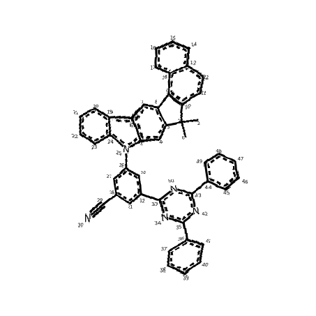 CC1(C)c2cc3c(cc2-c2c1ccc1ccccc21)c1ccccc1n3-c1cc(C#N)cc(-c2nc(-c3ccccc3)nc(-c3ccccc3)n2)c1